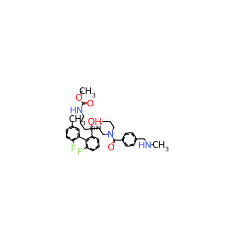 CNCc1ccc(C(=O)N2CCC[C@@H]([C@@](O)(CCCNC(=O)OC)c3cccc(F)c3-c3cc(C)ccc3F)C2)cc1